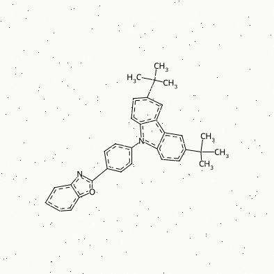 CC(C)(C)c1ccc2c(c1)c1cc(C(C)(C)C)ccc1n2-c1ccc(-c2nc3ccccc3o2)cc1